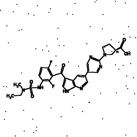 CCN(C)S(=O)(=O)Nc1ccc(F)c(C(=O)c2c[nH]c3ncc(-c4cnc(N5CC[C@@H](C(=O)O)C5)nc4)cc23)c1F